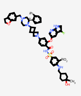 CC(C)c1ccccc1[C@@H]1CN(Cc2ccc3c(c2)OCC3)CCN1C1CC2(C1)CN(c1ccc(C(=O)NS(=O)(=O)c3ccc(NCC4CCC(C)(O)CC4)c([N+](=O)[O-])c3)c(Oc3cnc4[nH]cc(F)c4c3)c1)C2